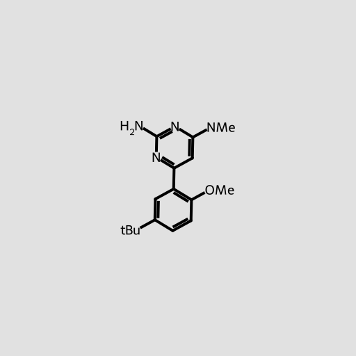 CNc1cc(-c2cc(C(C)(C)C)ccc2OC)nc(N)n1